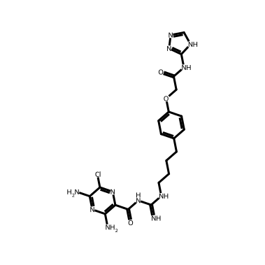 N=C(NCCCCc1ccc(OCC(=O)Nc2nnc[nH]2)cc1)NC(=O)c1nc(Cl)c(N)nc1N